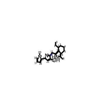 CCC1CCCc2c(C)[nH]c(/C=C3/N=C(c4cccn4C)C=C3O)c21